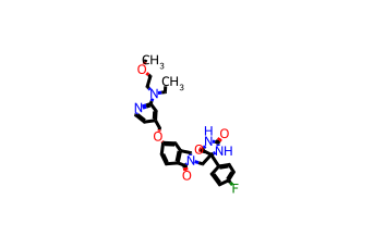 CCN(CCOC)c1cc(COc2ccc3c(c2)CN(CC2(c4ccc(F)cc4)NC(=O)NC2=O)C3=O)ccn1